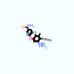 CCCCCCc1c(N)cc(Oc2ccc(C(N)=O)cn2)c(OC)c1C